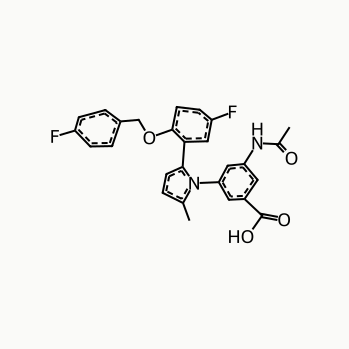 CC(=O)Nc1cc(C(=O)O)cc(-n2c(C)ccc2-c2cc(F)ccc2OCc2ccc(F)cc2)c1